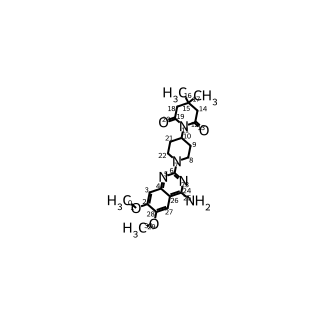 COc1cc2nc(N3CCC(N4C(=O)CC(C)(C)CC4=O)CC3)nc(N)c2cc1OC